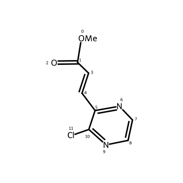 COC(=O)/C=C/c1nccnc1Cl